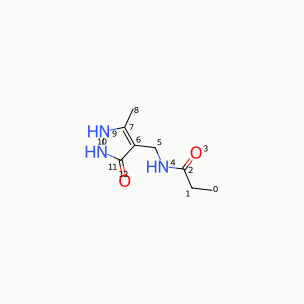 CCC(=O)NCc1c(C)[nH][nH]c1=O